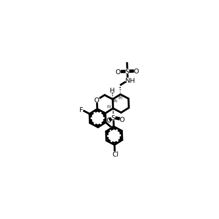 CS(=O)(=O)NC[C@@H]1CCC[C@@]2(S(=O)(=O)c3ccc(Cl)cc3)c3c(F)ccc(F)c3OC[C@@H]12